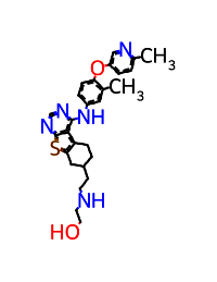 Cc1ccc(Oc2ccc(Nc3ncnc4sc5c(c34)CCC(CCNCCO)C5)cc2C)cn1